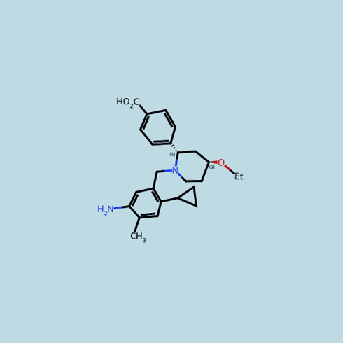 CCO[C@H]1CCN(Cc2cc(N)c(C)cc2C2CC2)[C@H](c2ccc(C(=O)O)cc2)C1